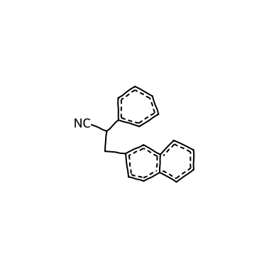 N#CC(Cc1ccc2ccccc2c1)c1ccccc1